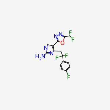 Nc1ncc(-c2nnc(C(F)F)o2)c(CC(F)(F)c2ccc(F)cc2)n1